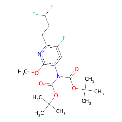 COc1nc(CCC(F)F)c(F)cc1N(C(=O)OC(C)(C)C)C(=O)OC(C)(C)C